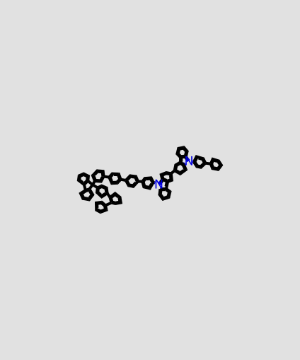 c1ccc(-c2ccc(-n3c4ccccc4c4cc(-c5ccc6c(c5)c5ccccc5n6-c5ccc(-c6ccc(-c7ccc(-c8cccc(C9(c%10ccc(-c%11ccccc%11-c%11ccccc%11)cc%10)c%10ccccc%10-c%10ccccc%109)c8)cc7)cc6)cc5)ccc43)cc2)cc1